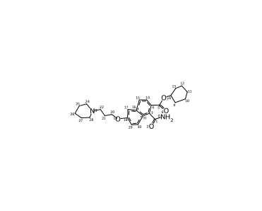 NC(=O)c1c(C(=O)OC2CCCCC2)ccc2cc(OCCCN3CCCCC3)ccc12